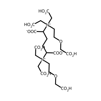 O=C(O)COCC[N+](CC(=O)O)(CC(=O)O)C(CCC(C(=O)[O-])[N+](CCOCC(=O)O)(CC(=O)O)CC(=O)O)C(=O)[O-]